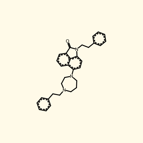 O=C1c2cccc3c(N4CCCN(CCc5ccccc5)CC4)ccc(c23)N1CCc1ccccc1